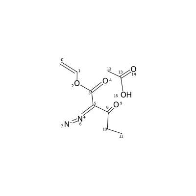 C=COC(=O)C(=[N+]=[N-])C(=O)CC.CC(=O)O